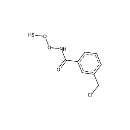 O=C(NOOS)c1cccc(CCl)c1